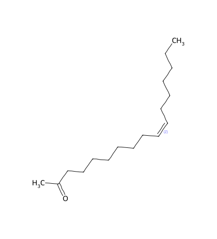 CCCCCC/C=C\CCCCCCCC(C)=O